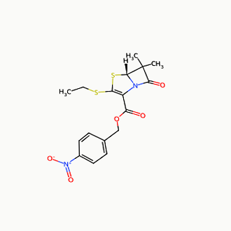 CCSC1=C(C(=O)OCc2ccc([N+](=O)[O-])cc2)N2C(=O)C(C)(C)[C@H]2S1